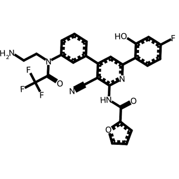 N#Cc1c(-c2cccc(N(CCN)C(=O)C(F)(F)F)c2)cc(-c2ccc(F)cc2O)nc1NC(=O)c1ccco1